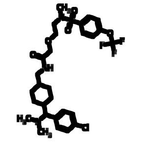 CN(C)C(c1ccc(Cl)cc1)C1CCC(CNC(=O)COCCN(C)S(=O)(=O)c2ccc(OC(F)(F)F)cc2)CC1